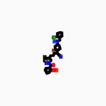 CCC(CCc1sc2c(c1C#N)CCC(NCc1ccccc1Cl)C2)CNC(=O)c1ccccc1O